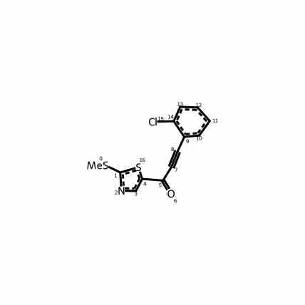 CSc1ncc(C(=O)C#Cc2ccccc2Cl)s1